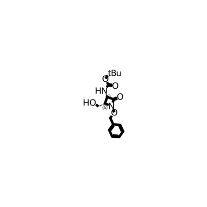 CC(C)(C)OC(=O)N[C@@H]1C(=O)N(OCc2ccccc2)[C@@H]1CO